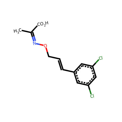 C/C(=N/OC/C=C/c1cc(Cl)cc(Cl)c1)C(=O)O